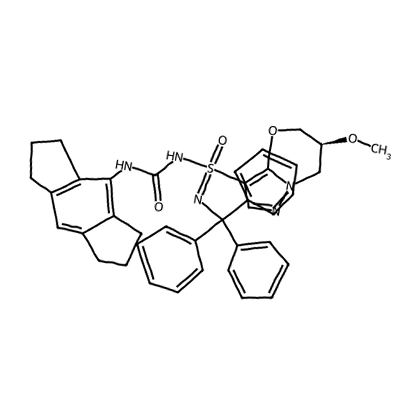 CO[C@@H]1COc2c(S(=O)(=NC(c3ccccc3)(c3ccccc3)c3ccccc3)NC(=O)Nc3c4c(cc5c3CCC5)CCC4)cnn2C1